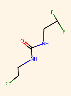 O=C(NCCCl)NCC(F)F